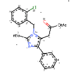 CCCCc1nc(-c2ccccc2)c(CC(=O)OC)n1Cc1ccccc1Cl